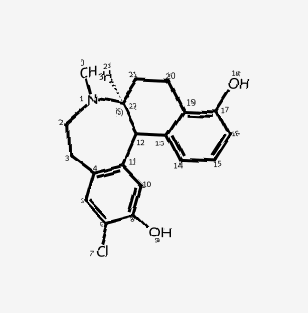 CN1CCc2cc(Cl)c(O)cc2C2c3cccc(O)c3CC[C@@H]21